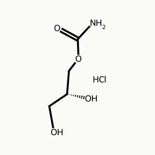 Cl.NC(=O)OC[C@H](O)CO